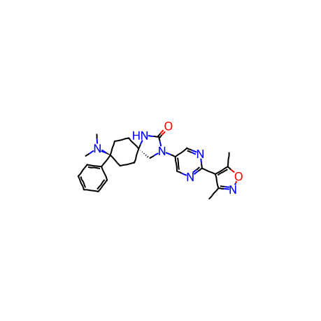 Cc1noc(C)c1-c1ncc(N2C[C@]3(CC[C@](c4ccccc4)(N(C)C)CC3)NC2=O)cn1